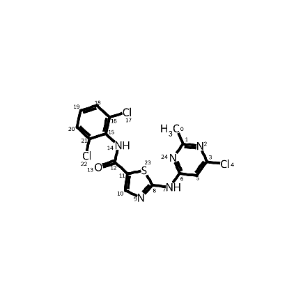 Cc1nc(Cl)cc(Nc2ncc(C(=O)Nc3c(Cl)cccc3Cl)s2)n1